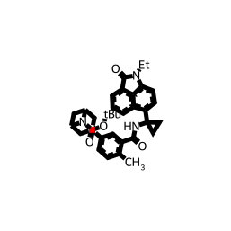 CCN1C(=O)c2cccc3c(C4(NC(=O)c5cc(N6CC7CC(C6)N7C(=O)OC(C)(C)C)ccc5C)CC4)ccc1c23